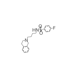 O=S(=O)(NCCCCN1CCc2ccccc2C1)c1ccc(F)cc1